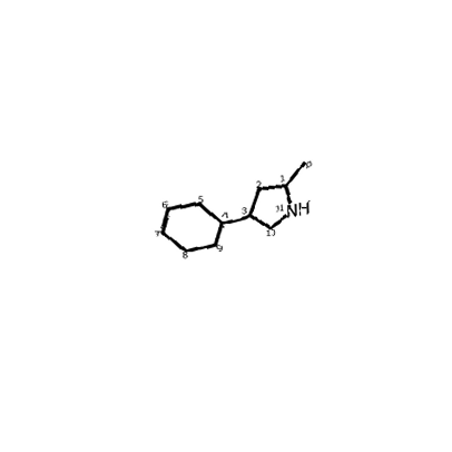 CC1CC(C2CCCCC2)CN1